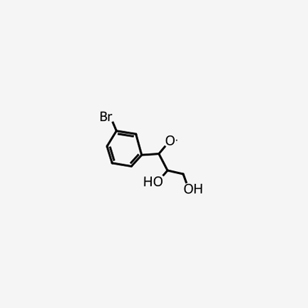 [O]C(c1cccc(Br)c1)C(O)CO